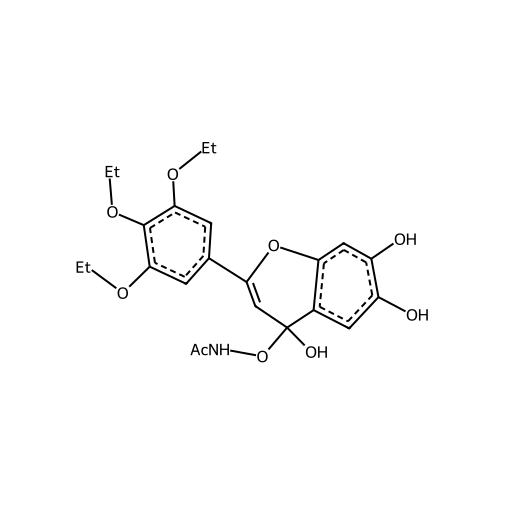 CCOc1cc(C2=CC(O)(ONC(C)=O)c3cc(O)c(O)cc3O2)cc(OCC)c1OCC